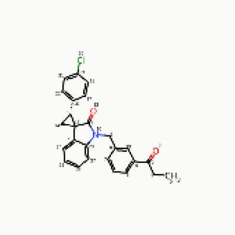 CCC(=O)c1cccc(CN2C(=O)[C@]3(C[C@@H]3c3ccc(Cl)cc3)c3ccccc32)c1